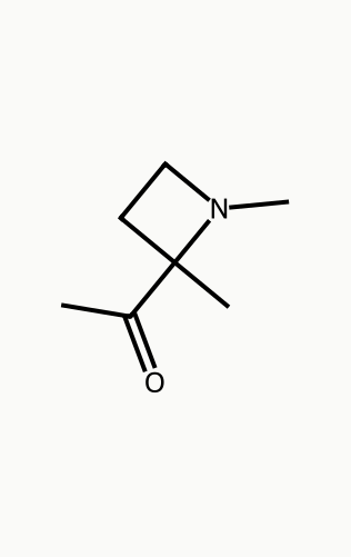 CC(=O)C1(C)CCN1C